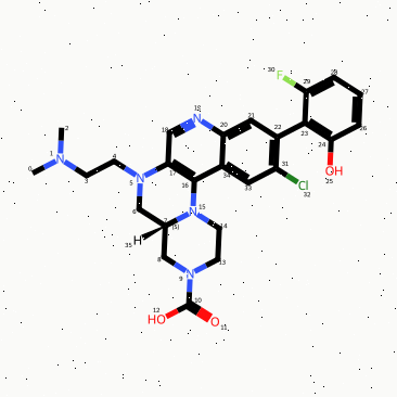 CN(C)CCN1C[C@H]2CN(C(=O)O)CCN2c2c1cnc1cc(-c3c(O)cccc3F)c(Cl)cc21